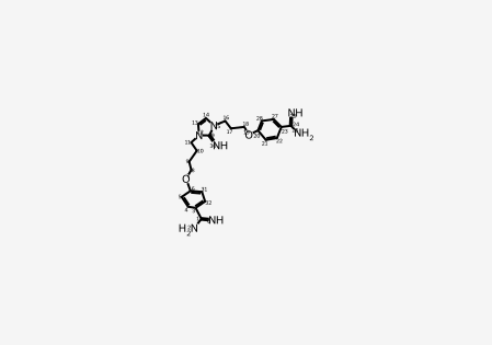 N=C(N)c1ccc(OCCCCn2ccn(CCCOc3ccc(C(=N)N)cc3)c2=N)cc1